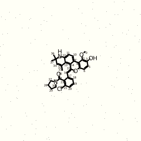 COc1c(O)ccc2c1-c1ccc3c(c1/C(=C/c1cccc(Cl)c1C(=O)N1CCCC1)O2)C(C)=CC(C)(C)N3